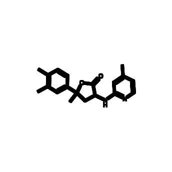 Cc1ccnc(NC2CC(C)(c3ccc(C)c(C)c3)OC2=O)c1